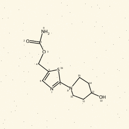 NC(=O)OCc1cnc(N2CCC(O)CC2)s1